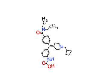 CCN(CC)C(=O)c1ccc(C(=C2CCN(CC3CCC3)CC2)c2cccc(NC(=O)O)c2)cc1